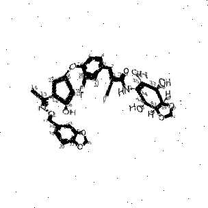 CC(=Cc1ccc(O[C@H]2C[C@@H](O)[C@@H](C(C)=NOCc3ccc4c(c3)OCO4)C2)c(F)c1)C(=O)N[C@@H]1[C@H](O)[C@@H](O)[C@H]2OCO[C@H]2[C@@H]1O